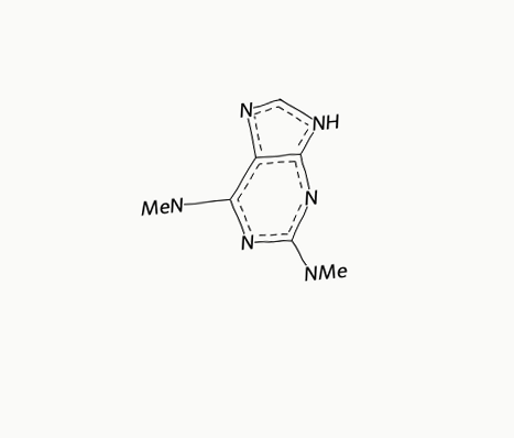 CNc1nc(NC)c2nc[nH]c2n1